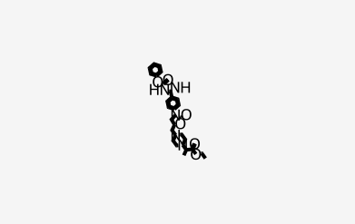 CCOC(=O)C(C)N1CCN(CC2CN(c3ccc(C(=N)NC(=O)Oc4ccccc4)cc3)C(=O)O2)CC1